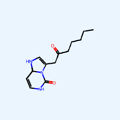 CCCCCC(=O)CC1=CNC2C=CNC(=O)N12